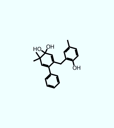 Cc1ccc(O)c(CC2=CC(O)(O)C(C)(C)C=C2c2ccccc2)c1